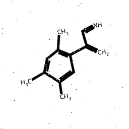 C=C(C=N)c1cc(C)c(C)cc1C